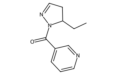 CCC1CC=NN1C(=O)c1cccnc1